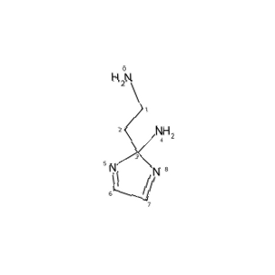 NCCC1(N)N=CC=N1